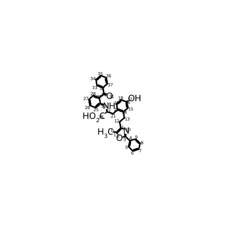 Cc1oc(-c2ccccc2)nc1CCc1cc(O)ccc1C[C@H](Nc1ccccc1C(=O)c1ccccc1)C(=O)O